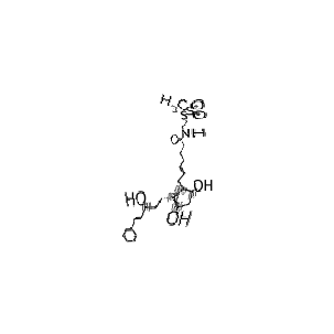 CS(=O)(=O)SCCNC(=O)CCCC=CC[C@@H]1[C@@H](CC[C@@H](O)CCc2ccccc2)[C@H](O)C[C@@H]1O